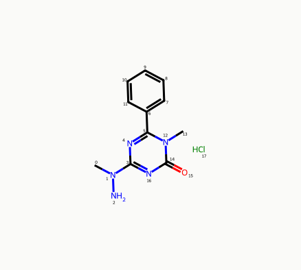 CN(N)c1nc(-c2ccccc2)n(C)c(=O)n1.Cl